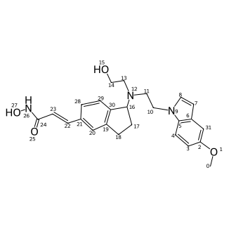 COc1ccc2c(ccn2CCN(CCO)C2CCc3cc(C=CC(=O)NO)ccc32)c1